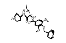 COC[C@H](NC(=O)c1cc(OC)c(OCc2ccccc2)c(OC)c1)C(=O)NC1CCNCC1